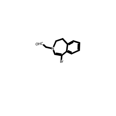 O=CCN1C=C(Br)c2ccccc2CC1